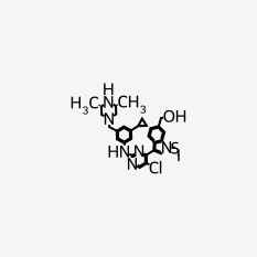 C[C@@H]1CN(Cc2cc(Nc3ncc(Cl)c(-c4cn(SI)c5cc(CO)ccc45)n3)cc(C3CC3)c2)C[C@H](C)N1